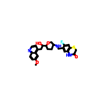 COc1ccc2nccc(CC(O)C3CCC(NCc4cc5c(cc4F)SCC(=O)N5)CO3)c2c1